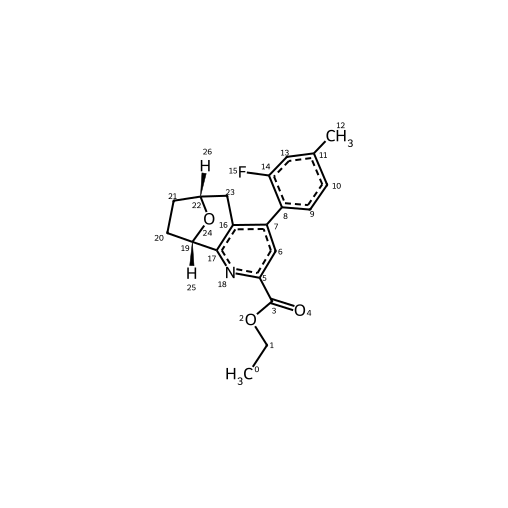 CCOC(=O)c1cc(-c2ccc(C)cc2F)c2c(n1)[C@@H]1CC[C@H](C2)O1